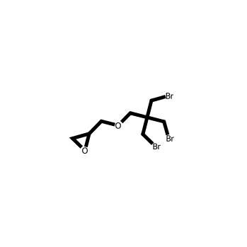 BrCC(CBr)(CBr)COCC1CO1